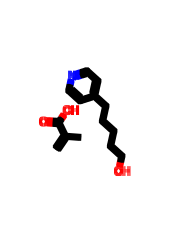 C=C(C)C(=O)O.OCCCCCc1ccncc1